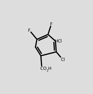 Cl.O=C(O)c1cc(F)c(F)cc1Cl